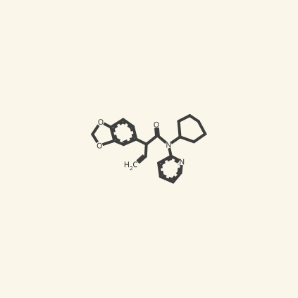 C=CC(C(=O)N(c1ccccn1)C1CCCCC1)c1ccc2c(c1)OCO2